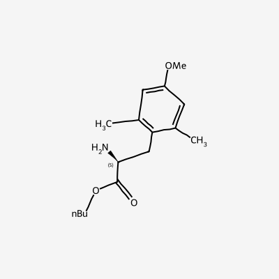 CCCCOC(=O)[C@@H](N)Cc1c(C)cc(OC)cc1C